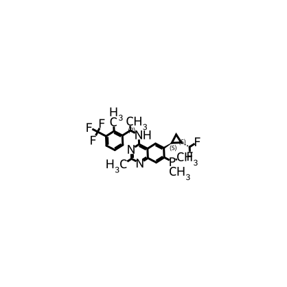 Cc1nc(N[C@H](C)c2cccc(C(F)(F)F)c2C)c2cc([C@H]3C[C@@H]3C(F)F)c(P(C)C)cc2n1